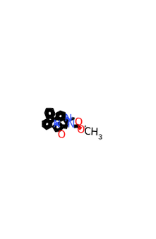 CCOC(=O)Cn1cncc1/C=C1\CN(C(c2ccccc2)(c2ccccc2)c2ccccc2)CCC1=O